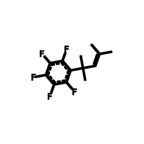 CC(C)=CC(C)(C)c1c(F)c(F)c(F)c(F)c1F